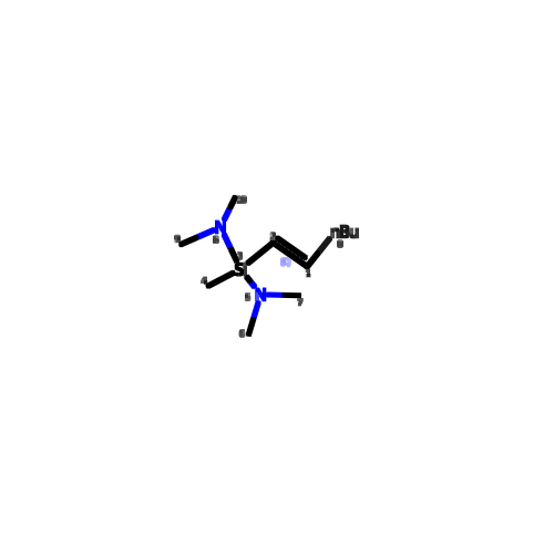 CCCC/C=C/[Si](C)(N(C)C)N(C)C